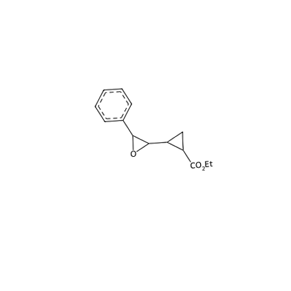 CCOC(=O)C1CC1C1OC1c1ccccc1